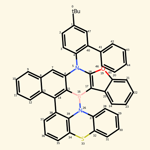 CC(C)(C)c1ccc(N2c3cc4ccccc4c4c3B(c3c2oc2ccccc32)N2c3ccccc3Sc3cccc-4c32)c(-c2ccccc2)c1